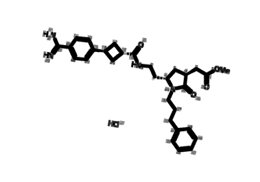 COC(=O)C[C@@H]1C[C@@H](CCNC(=O)[C@H]2C[C@H](c3ccc(C(=N)N)cc3)C2)N(CCCc2ccccc2)C1=O.Cl